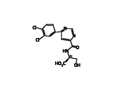 O=C(N[C@@H](CO)C(=O)O)c1cc(-c2ccc(Cl)c(Cl)c2)ncn1